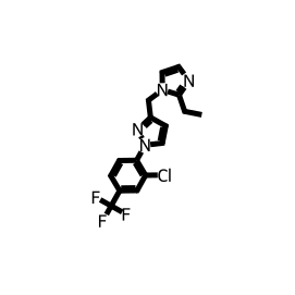 CCc1nccn1Cc1ccn(-c2ccc(C(F)(F)F)cc2Cl)n1